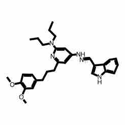 CCCN(CCC)c1cc(N/N=C/c2c[nH]c3ccccc23)cc(CCCc2ccc(OC)c(OC)c2)n1